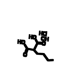 CCCCC(C(=O)O)C(=O)O.Cl.Cl